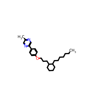 CCCCCCCC1CCCCC1CCCOc1ccc(-c2cnc(C)cn2)cc1